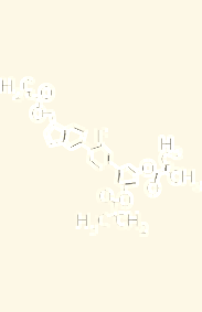 C=CC(=O)OCC1CCc2cc(-c3ccc(-c4cc(OC(=O)C(=C)C)cc(OC(=O)C(=C)C)c4)cc3F)ccc21